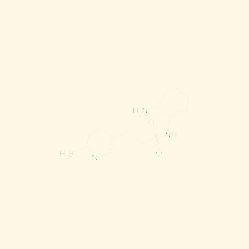 Bc1ccc(CCS(=O)(=O)Nc2ccccc2N)cn1